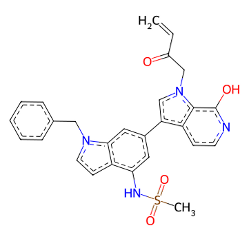 C=CC(=O)Cn1cc(-c2cc(NS(C)(=O)=O)c3ccn(Cc4ccccc4)c3c2)c2ccnc(O)c21